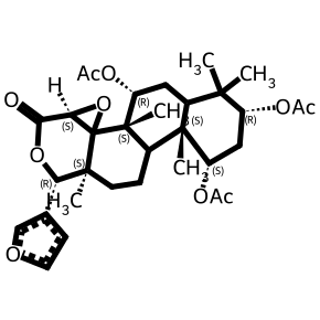 CC(=O)O[C@H]1C[C@@H](OC(C)=O)C(C)(C)C2C[C@@H](OC(C)=O)[C@]3(C)C(CC[C@@]4(C)[C@H](c5ccoc5)OC(=O)[C@H]5OC543)[C@]21C